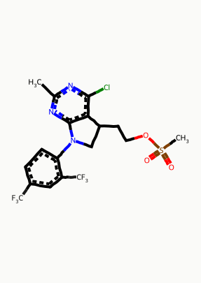 Cc1nc(Cl)c2c(n1)N(c1ccc(C(F)(F)F)cc1C(F)(F)F)CC2CCOS(C)(=O)=O